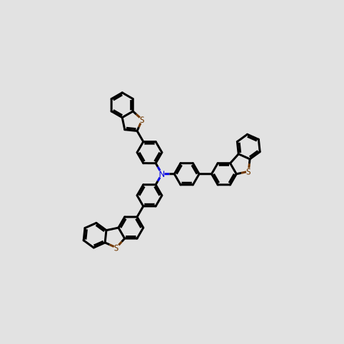 c1ccc2sc(-c3ccc(N(c4ccc(-c5ccc6sc7ccccc7c6c5)cc4)c4ccc(-c5ccc6sc7ccccc7c6c5)cc4)cc3)cc2c1